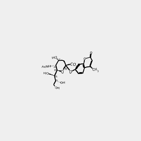 CC(=O)N[C@H]1[C@H]([C@H](O)[C@H](O)CO)O[C@](Oc2ccc3c(C)cc(=O)oc3c2)(C(=O)O)C[C@@H]1O